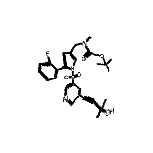 CN(Cc1cc(-c2ccccc2F)n(S(=O)(=O)c2cncc(C#CC(C)(C)O)c2)c1)C(=O)OC(C)(C)C